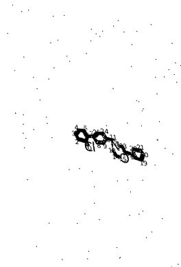 Clc1ccccc1-c1ccc(CN2CCOC(c3ccccc3)C2)cc1